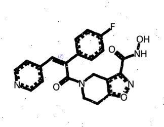 O=C(NO)c1noc2c1CN(C(=O)/C(=C\c1ccncc1)c1ccc(F)cc1)CC2